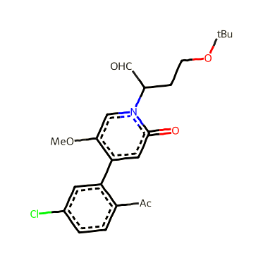 COc1cn(C(C=O)CCOC(C)(C)C)c(=O)cc1-c1cc(Cl)ccc1C(C)=O